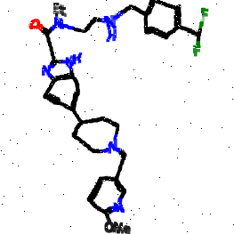 CCN(CCNCc1ccc(C(F)F)cc1)C(=O)c1nc2ccc(C3CCN(Cc4ccc(OC)nc4)CC3)cc2[nH]1